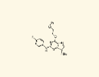 CCCCn1cnc2c(OCCOC(C)C)nc(Nc3ccc(F)cc3)nc21